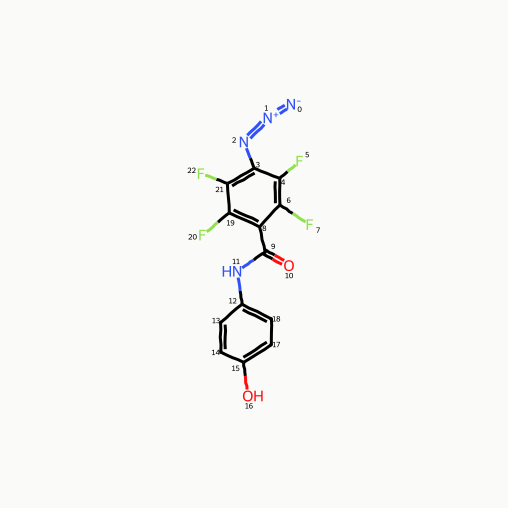 [N-]=[N+]=Nc1c(F)c(F)c(C(=O)Nc2ccc(O)cc2)c(F)c1F